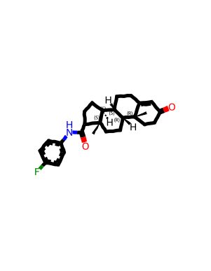 C[C@]12CCC(=O)C=C1CC[C@@H]1[C@H]2CC[C@]2(C)C(C(=O)Nc3ccc(F)cc3)CC[C@@H]12